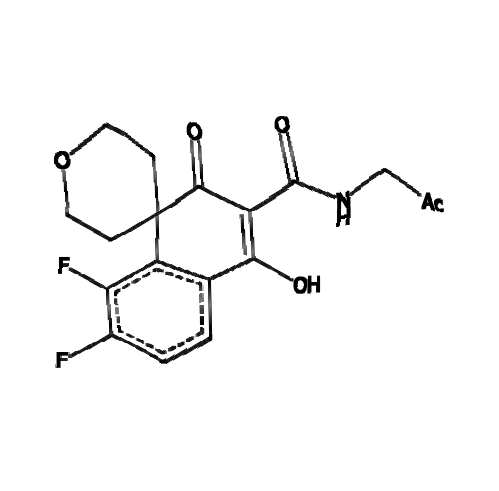 CC(=O)CNC(=O)C1=C(O)c2ccc(F)c(F)c2C2(CCOCC2)C1=O